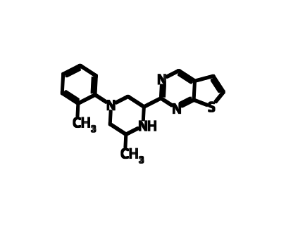 Cc1ccccc1N1CC(C)NC(c2ncc3ccsc3n2)C1